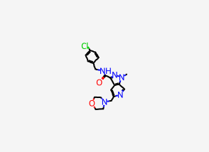 Cn1nc(C(=O)NCc2ccc(Cl)cc2)c2cc(CN3CCOCC3)ncc21